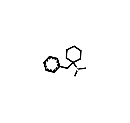 CN(C)C1(Cc2ccccc2)CCCCC1